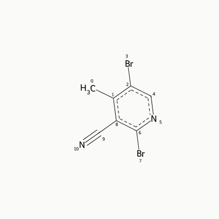 Cc1c(Br)cnc(Br)c1C#N